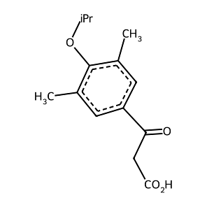 Cc1cc(C(=O)CC(=O)O)cc(C)c1OC(C)C